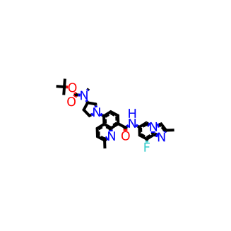 Cc1ccc2c(N3CCC(N(C)C(=O)OC(C)(C)C)C3)ccc(C(=O)Nc3cc(F)c4nc(C)cn4c3)c2n1